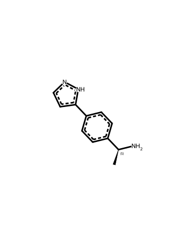 C[C@H](N)c1ccc(-c2ccn[nH]2)cc1